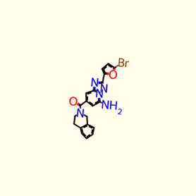 Nc1cc(C(=O)N2CCc3ccccc3C2)cc2nc(-c3ccc(Br)o3)nn12